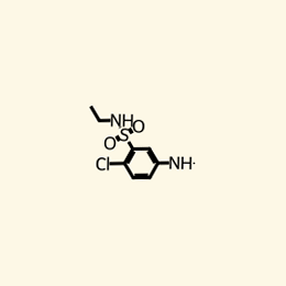 CCNS(=O)(=O)c1cc([NH])ccc1Cl